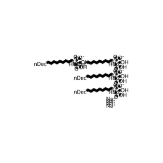 CCCCCCCCCCCCCCCCCCCOP(=O)([O-])C(O)P(=O)(O)O.CCCCCCCCCCCCCCCCCCCOP(=O)([O-])C(O)P(=O)(O)O.CCCCCCCCCCCCCCCCCCCOP(=O)([O-])C(O)P(=O)(O)O.CCCCCCCCCCCCCCCCCCCOP(=O)([O-])C(O)P(=O)(O)O.[Na+].[Na+].[Na+].[Na+]